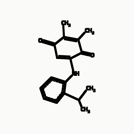 CC1=C(C)C(=O)C(Nc2ccccc2C(C)C)=CC1=O